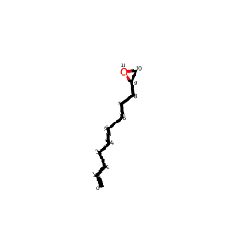 C=CCCCCCCCC1CO1